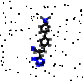 CN(C)c1ccc(-c2ccc(/C=C(\C#N)c3nnn[nH]3)cc2)cc1